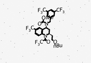 CCCCOCC[C@@H]1C[C@H](N(Cc2cc(C(F)(F)F)cc(C(F)(F)F)c2)C(=O)OC)c2cc(C(F)(F)F)ccc2N1C(=O)C(F)(F)F